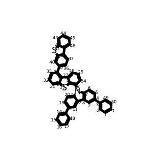 c1ccc(-c2ccc3c(c2)c2cc(-c4ccccc4)ccc2n3-c2cccc3c2sc2cccc(-c4ccc5c(c4)sc4ccccc45)c23)cc1